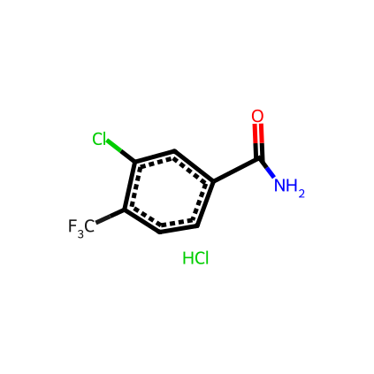 Cl.NC(=O)c1ccc(C(F)(F)F)c(Cl)c1